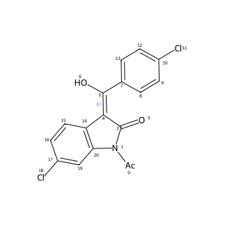 CC(=O)N1C(=O)/C(=C(/O)c2ccc(Cl)cc2)c2ccc(Cl)cc21